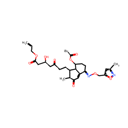 C=CCOC(=O)CC(O)CC(=O)CCC1C(C)C(=O)C=C2C(=NOCc3cc(C)no3)CCC(OC(=O)C(C)CC)C21